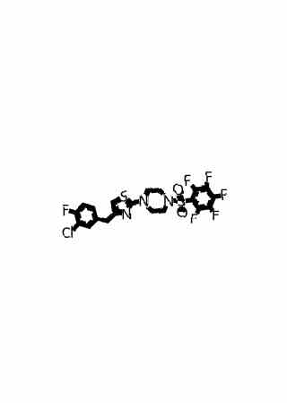 O=S(=O)(c1c(F)c(F)c(F)c(F)c1F)N1CCN(c2nc(Cc3ccc(F)c(Cl)c3)cs2)CC1